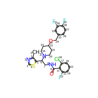 Cc1ncsc1C(CNC(=O)c1c(F)cccc1Cl)N1CCC(OCc2ccc(F)c(F)c2)CC1